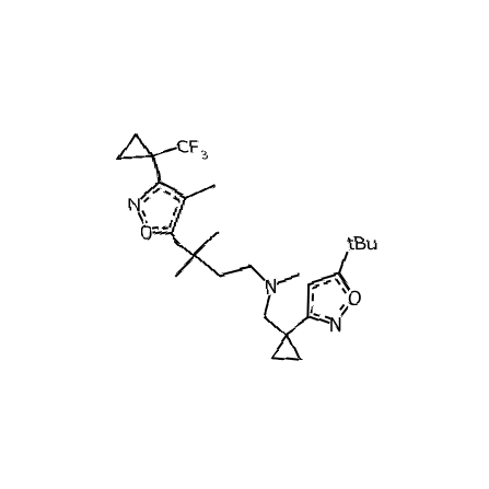 Cc1c(C2(C(F)(F)F)CC2)noc1C(C)(C)CCN(C)CC1(c2cc(C(C)(C)C)on2)CC1